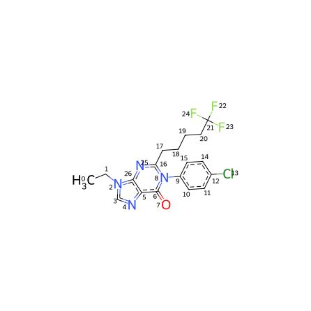 CCn1cnc2c(=O)n(-c3ccc(Cl)cc3)c(CCCCC(F)(F)F)nc21